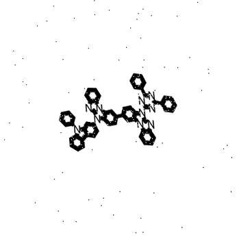 c1ccc(-c2nc(-c3ccccc3)nc(-n3c4ccc(-c5ccc6c(c5)n5c7ccccc7nc5n6-c5ccc6c7ccccc7n(-c7ccccc7)c6c5)cc4n4c5ccccc5nc34)n2)cc1